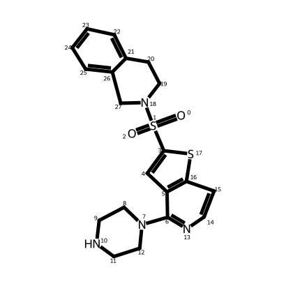 O=S(=O)(c1cc2c(N3CCNCC3)nccc2s1)N1CCc2ccccc2C1